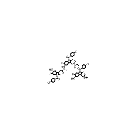 CCNC(=O)Cc1c(C)n(C(=O)c2ccc(Cl)cc2)c2cc(F)c(O)cc12.CNC(=O)Cc1c(C)n(C(=O)c2ccc(Cl)cc2)c2cc(F)c(O)cc12.Cc1c(CC(N)=O)c2cc(O)c(F)cc2n1C(=O)c1ccc(Cl)cc1